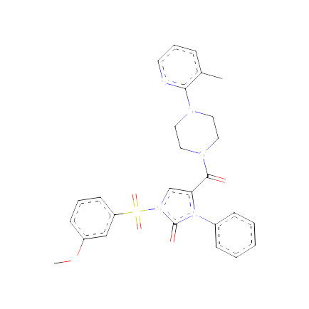 COc1cccc(S(=O)(=O)n2cc(C(=O)N3CCN(c4ncccc4C)CC3)n(-c3ccccc3)c2=O)c1